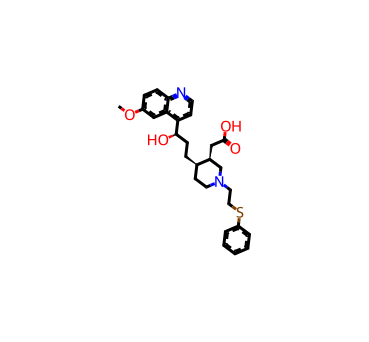 COc1ccc2nccc([C@H](O)CC[C@@H]3CCN(CCSc4ccccc4)C[C@@H]3CC(=O)O)c2c1